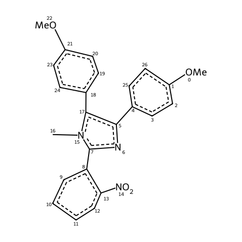 COc1ccc(-c2nc(-c3ccccc3[N+](=O)[O-])n(C)c2-c2ccc(OC)cc2)cc1